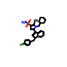 Cc1c(S(N)(=O)=O)cc(C2=CC(Cc3ccc(Cl)cc3)c3ccccc32)n1CC1CCCCC1